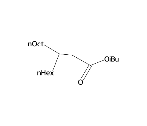 CCCCCCCCC(CCCCCC)CC(=O)OCC(C)C